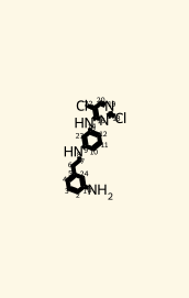 Nc1cccc(CCNc2cccc(Nc3nc(Cl)ncc3Cl)c2)c1